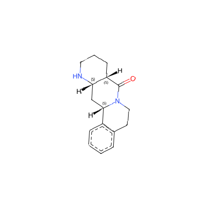 O=C1[C@H]2CCCN[C@H]2C[C@H]2c3ccccc3CCN12